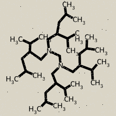 CC(C)CC(CN(CC(CC(C)C)C(C)C)CN(CC(CC(C)C)C(C)C)CC(CC(C)C)C(C)C)C(C)C